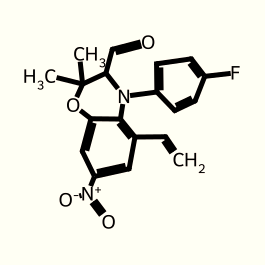 C=Cc1cc([N+](=O)[O-])cc2c1N(c1ccc(F)cc1)C(C=O)C(C)(C)O2